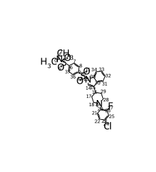 CN(C)S(=O)(=O)c1ccc(S(=O)(=O)n2cc(C3CCN(c4ccc(Cl)cc4F)CC3)c3ccccc32)cc1